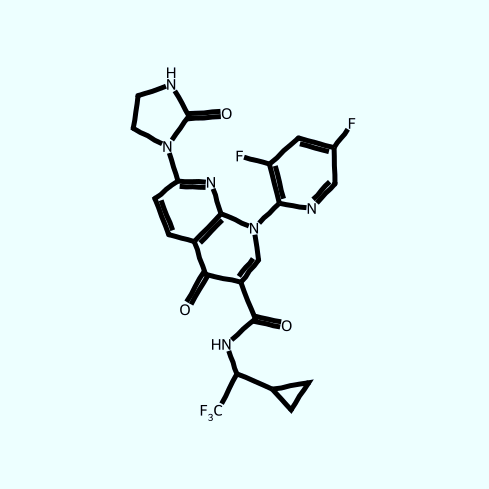 O=C(NC(C1CC1)C(F)(F)F)c1cn(-c2ncc(F)cc2F)c2nc(N3CCNC3=O)ccc2c1=O